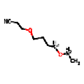 C[SiH2]O[SiH2]CCCOCCC#N